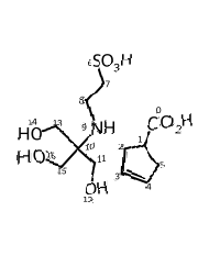 O=C(O)C1CC=CC1.O=S(=O)(O)CCNC(CO)(CO)CO